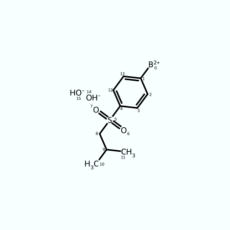 [B+2]c1ccc(S(=O)(=O)CC(C)C)cc1.[OH-].[OH-]